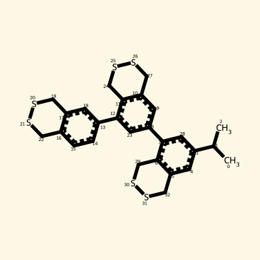 CC(C)c1cc2c(c(-c3cc4c(c(-c5ccc6c(c5)CSSC6)c3)CSSC4)c1)CSSC2